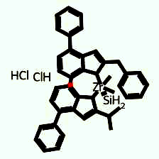 Cc1ccc(-c2ccccc2)c2c1[CH]([Zr]([CH3])([CH3])(=[SiH2])[CH]1C(C(C)C)=Cc3c(-c4ccccc4)cccc31)C(Cc1ccccc1)=C2.Cl.Cl